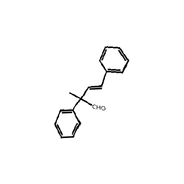 CC(C=O)(C=Cc1ccccc1)c1ccccc1